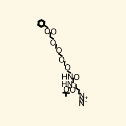 CC(C)(C)OC(=O)N[C@@H](CCCCN=[N+]=[N-])C(=O)NCCOCCOCCOCCOCCC(=O)OCc1ccccc1